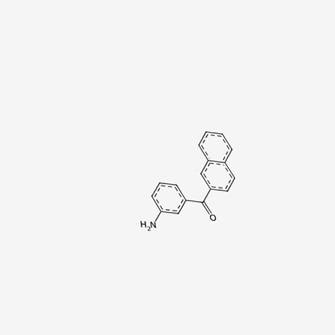 Nc1cccc(C(=O)c2ccc3ccccc3c2)c1